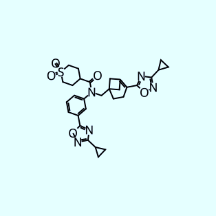 O=C(C1CCS(=O)(=O)CC1)N(CC12CCC(c3nc(C4CC4)no3)=C(C1)C2)c1cccc(-c2nc(C3CC3)no2)c1